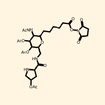 CC(=O)NC1C(CCCCCC(=O)ON2C(=O)CCC2=O)OC(CNC(=O)C2CC(OC(C)=O)CN2)C(OC(C)=O)C1OC(C)=O